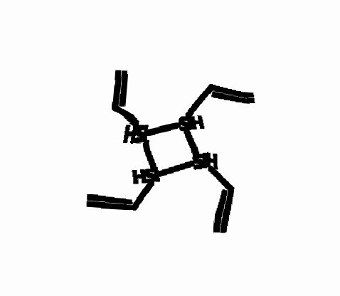 C=C[SiH]1[SiH](C=C)[SiH](C=C)[SiH]1C=C